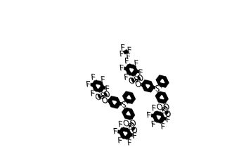 FC(F)(F)F.O=S(=O)(Oc1ccc([S+](c2ccccc2)c2ccc(OS(=O)(=O)c3c(F)c(F)c(F)c(F)c3F)cc2)cc1)c1c(F)c(F)c(F)c(F)c1F.O=S(=O)(Oc1ccc([S+](c2ccccc2)c2ccc(OS(=O)(=O)c3c(F)c(F)c(F)c(F)c3F)cc2)cc1)c1c(F)c(F)c(F)c(F)c1F